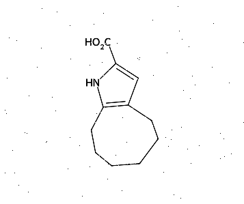 O=C(O)c1cc2c([nH]1)CCCCCC2